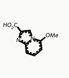 COc1cccc2nc(C(=O)O)cn12